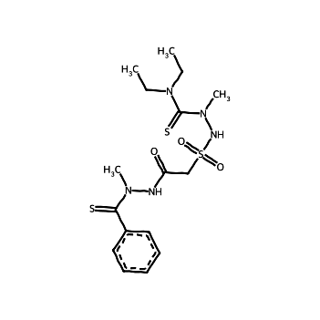 CCN(CC)C(=S)N(C)NS(=O)(=O)CC(=O)NN(C)C(=S)c1ccccc1